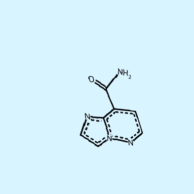 NC(=O)c1ccnn2ccnc12